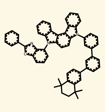 CC1(C)CCC(C)(C)c2cc(-c3cccc(-c4cccc(-n5c6ccccc6c6c7c8ccccc8n(-c8cccc9oc(-c%10ccccc%10)nc89)c7ccc65)c4)c3)ccc21